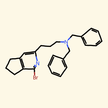 Brc1nc(CCCN(Cc2ccccc2)Cc2ccccc2)cc2c1CCC2